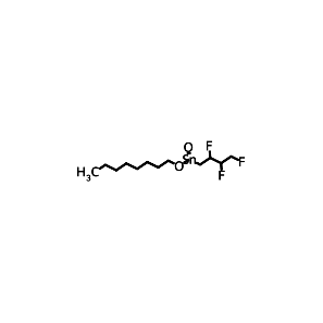 CCCCCCCC[O][Sn](=[O])[CH2]C(F)C(F)CF